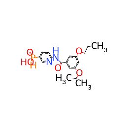 CCCOc1cc(OC(C)C)cc(C(=O)Nc2ccc([PH](=O)O)cn2)c1